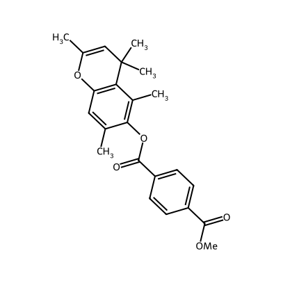 COC(=O)c1ccc(C(=O)Oc2c(C)cc3c(c2C)C(C)(C)C=C(C)O3)cc1